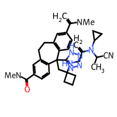 C=C(NC)c1ccc2c(c1)CCc1cc(C(=O)NC)ccc1C2(CC1(NCC(=C)N(C(C)C#N)C2CC2)CCC1)c1nnn[nH]1